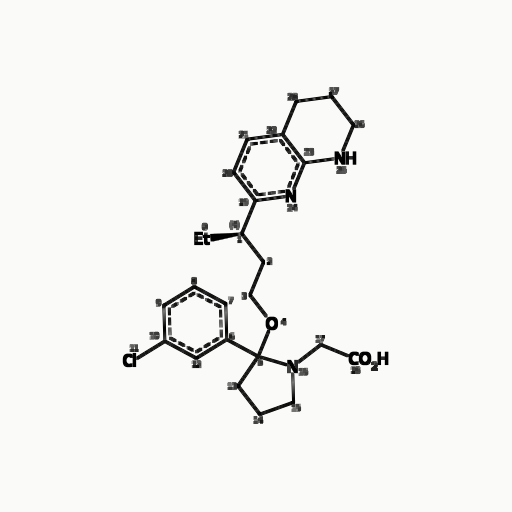 CC[C@H](CCOC1(c2cccc(Cl)c2)CCCN1CC(=O)O)c1ccc2c(n1)NCCC2